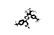 CN/C(N)=C(\C(=N)N1CCN(C(CN(C)C)c2ccc(C(F)(F)F)cc2)CC1)c1ccc(C(=O)O)cc1